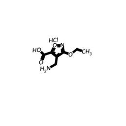 CCOc1noc(C(=O)O)c1CN.Cl